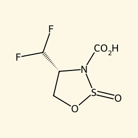 O=C(O)N1[C@@H](C(F)F)COS1=O